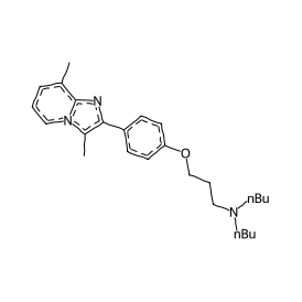 CCCCN(CCCC)CCCOc1ccc(-c2nc3c(C)cccn3c2C)cc1